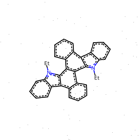 CCn1c2ccccc2c2c3ccccc3c3c(c4ccccc4c4c5ccccc5n(CC)c43)c21